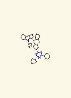 c1ccc(-c2nc(-c3ccccc3)nc(-c3ccc4c(c3)Cc3ccccc3C43c4ccccc4-n4c5ccccc5c5cccc3c54)n2)cc1